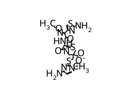 CCON=C(C(=O)NC1C(=O)N2CC(CSc3nc(N)cc[n+]3C)(C(=O)[O-])CS[C@H]12)c1csc(N)n1